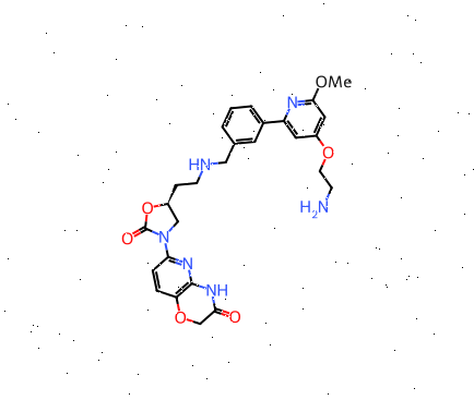 COc1cc(OCCN)cc(-c2cccc(CNCC[C@H]3CN(c4ccc5c(n4)NC(=O)CO5)C(=O)O3)c2)n1